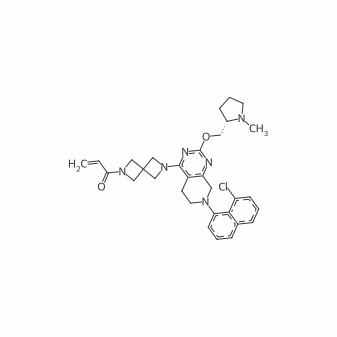 C=CC(=O)N1CC2(C1)CN(c1nc(OC[C@@H]3CCCN3C)nc3c1CCN(c1cccc4cccc(Cl)c14)C3)C2